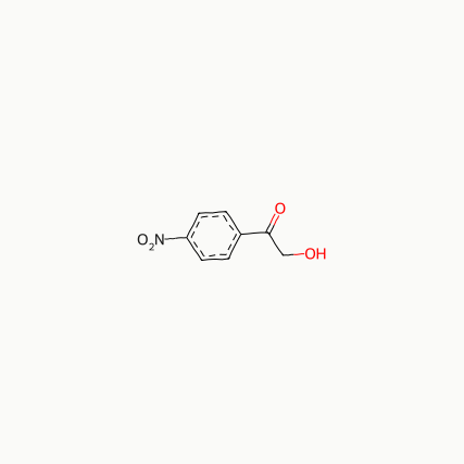 O=C(CO)c1ccc([N+](=O)[O-])cc1